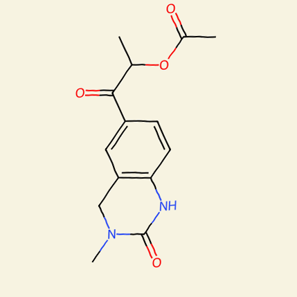 CC(=O)OC(C)C(=O)c1ccc2c(c1)CN(C)C(=O)N2